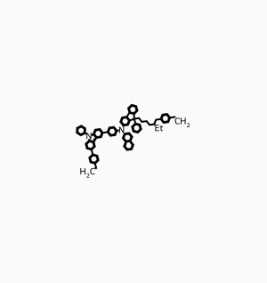 C=Cc1ccc(CC(CC)CCCCC2(c3ccccc3)c3ccccc3-c3ccc(N(c4ccc(-c5ccc6c(c5)c5cc(-c7ccc(C=C)cc7)ccc5n6-c5ccccc5)cc4)c4ccc5ccccc5c4)cc32)cc1